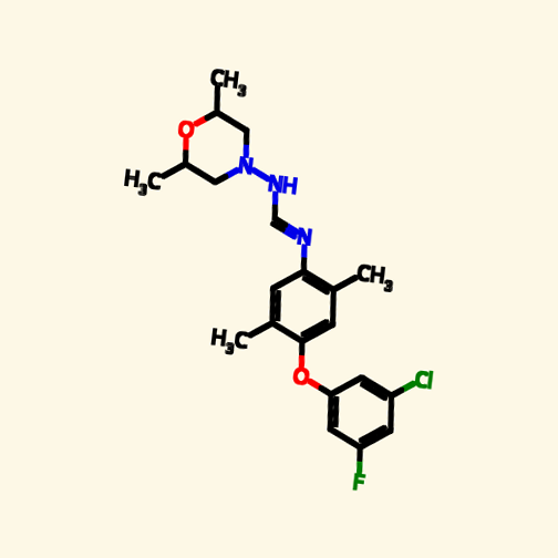 Cc1cc(Oc2cc(F)cc(Cl)c2)c(C)cc1N=CNN1CC(C)OC(C)C1